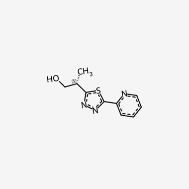 C[C@@H](CO)c1nnc(-c2ccccn2)s1